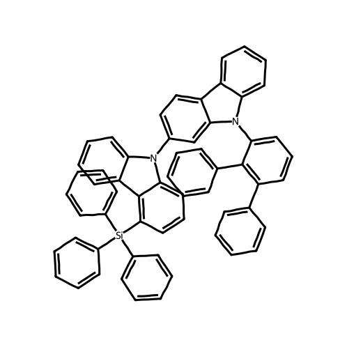 c1ccc(-c2cccc(-n3c4ccccc4c4ccc(-n5c6ccccc6c6c([Si](c7ccccc7)(c7ccccc7)c7ccccc7)cccc65)cc43)c2-c2ccccc2)cc1